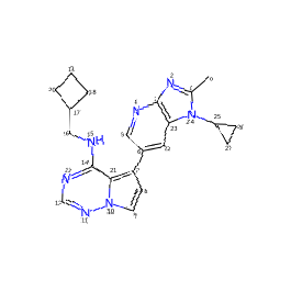 Cc1nc2ncc(-c3ccn4ncnc(NCC5CCC5)c34)cc2n1C1CC1